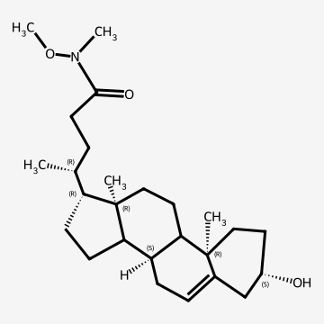 CON(C)C(=O)CC[C@@H](C)[C@H]1CCC2[C@@H]3CC=C4C[C@@H](O)CC[C@]4(C)C3CC[C@@]21C